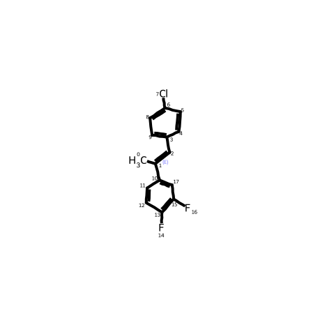 C/C(=C\c1ccc(Cl)cc1)c1ccc(F)c(F)c1